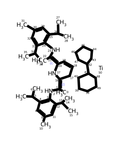 C/C(Nc1c(C(C)C)cc(C)cc1C(C)C)=C1\CC=C/C(=C(/C)Nc2c(C(C)C)cc(C)cc2C(C)C)N1.C1CCC(C2CCCCC2)CC1.[Ti]